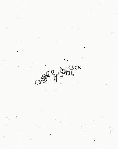 Cn1c(Cc2ccc(C#N)cc2)nc2cc(NC(=O)CNS(=O)(=O)c3ccccc3)ccc21